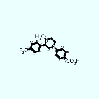 CN1CCN(c2ccc(C(=O)O)cc2)CC1c1ccc(C(F)(F)F)cc1